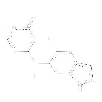 Cl.Nc1c(Oc2ccc3cn[nH]c3c2)nc[nH]c1=O